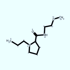 CCCN1CCCC1C(=O)NCCOC